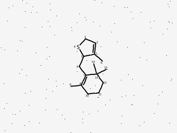 CC1=CCSC1CC1=C(C)CCCC1(C)C